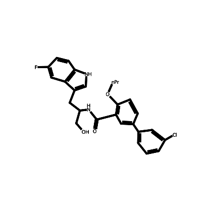 CCCOc1ccc(-c2cccc(Cl)c2)cc1C(=O)NC(CO)Cc1c[nH]c2ccc(F)cc12